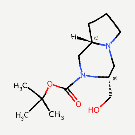 CC(C)(C)OC(=O)N1C[C@@H]2CCCN2C[C@@H]1CO